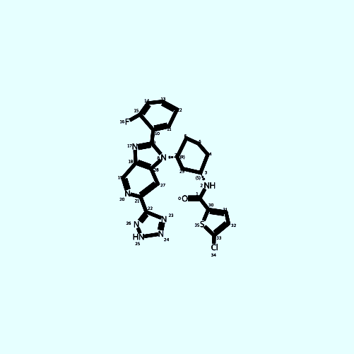 O=C(N[C@H]1CCC[C@@H](n2c(-c3ccccc3F)nc3cnc(-c4nn[nH]n4)cc32)C1)c1ccc(Cl)s1